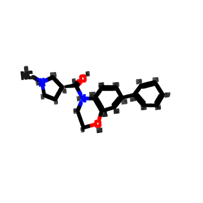 N#CN1CC[C@@H](C(=O)N2CCOc3cc(-c4ccccc4)ccc32)C1